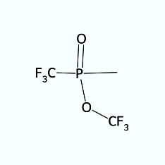 CP(=O)(OC(F)(F)F)C(F)(F)F